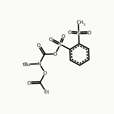 CCC(=O)ON(C(=O)OS(=O)(=O)c1ccccc1S(C)(=O)=O)C(C)(C)C